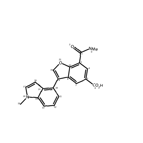 CNC(=O)c1cc(C(=O)O)cc2c(-c3cccc4c3ccn4C)coc12